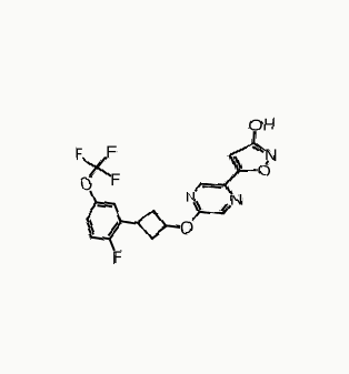 Oc1cc(-c2cnc(OC3CC(c4cc(OC(F)(F)F)ccc4F)C3)cn2)on1